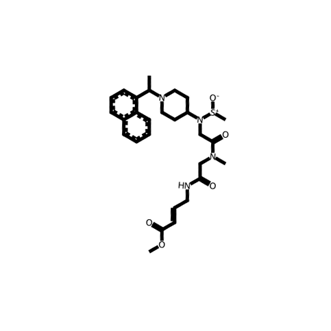 COC(=O)/C=C/CNC(=O)CN(C)C(=O)CN(C1CCN(C(C)c2cccc3ccccc23)CC1)[S+](C)[O-]